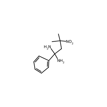 CC(C)(CC(N)(N)c1ccccc1)[N+](=O)[O-]